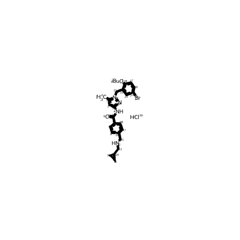 Cc1cc(NC(=O)c2ccc(CNCC3CC3)cc2)nn1Cc1cc(Br)ccc1OCC(C)C.Cl